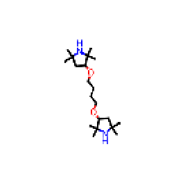 CC1(C)CC(OCCCCOC2CC(C)(C)NC2(C)C)C(C)(C)N1